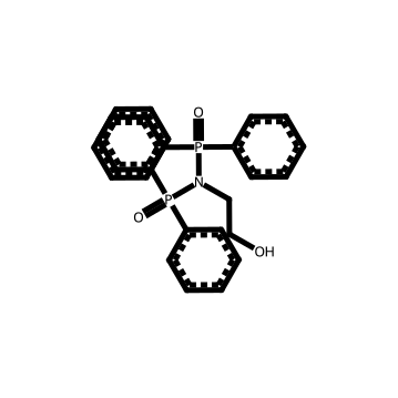 O=P(c1ccccc1)(c1ccccc1)N(CCO)P(=O)(c1ccccc1)c1ccccc1